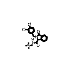 C[Si](C)(C)CNC(=O)C1c2ccccc2C(=O)N1Cc1ccc(Cl)c(Cl)c1